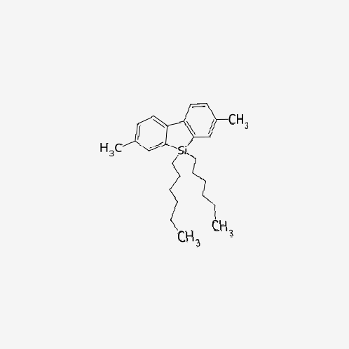 CCCCCC[Si]1(CCCCCC)c2cc(C)ccc2-c2ccc(C)cc21